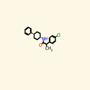 CC(C(=O)N[C@H]1CC[C@H](c2ccccc2)CC1)c1ccc(Cl)cc1